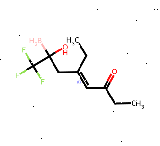 BC(O)(C/C(=C/C(=O)CC)CC)C(F)(F)F